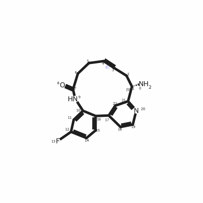 N[C@H]1C/C=C/CCC(=O)Nc2cc(F)ccc2-c2ccnc1c2